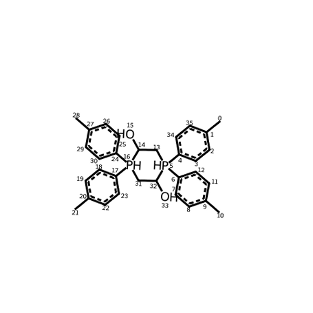 Cc1ccc([PH]2(c3ccc(C)cc3)CC(O)[PH](c3ccc(C)cc3)(c3ccc(C)cc3)CC2O)cc1